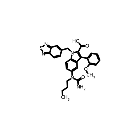 CCCCN(C(N)=O)c1ccc2c(c1)c(-c1ccccc1OC)c(C(=O)O)n2Cc1ccc2nsnc2c1